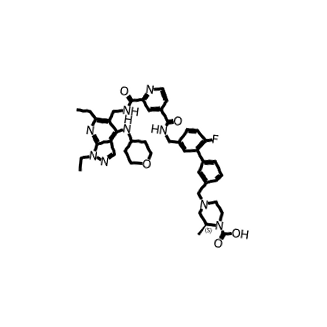 CCc1nc2c(cnn2CC)c(NC2CCOCC2)c1CNC(=O)c1cc(C(=O)NCc2ccc(F)c(-c3cccc(CN4CCN(C(=O)O)[C@@H](C)C4)c3)c2)ccn1